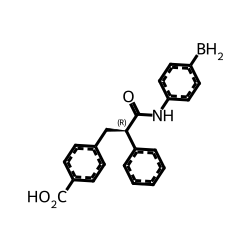 Bc1ccc(NC(=O)[C@H](Cc2ccc(C(=O)O)cc2)c2ccccc2)cc1